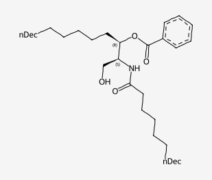 CCCCCCCCCCCCCCCC(=O)N[C@@H](CO)[C@@H](CCCCCCCCCCCCCCC)OC(=O)c1ccccc1